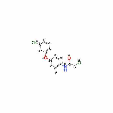 Cc1cc(Oc2cccc(Cl)c2)ccc1NC(=O)CCl